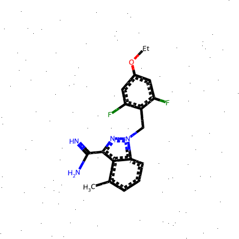 CCOc1cc(F)c(Cn2nc(C(=N)N)c3c(C)cccc32)c(F)c1